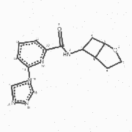 O=C(NC1CC2OCCC12)c1cccc(-n2cnnc2)n1